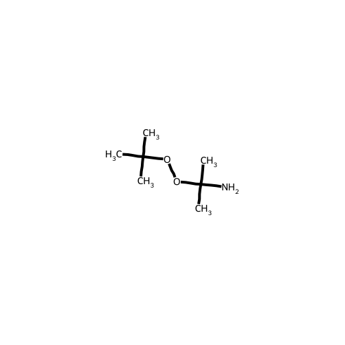 CC(C)(C)OOC(C)(C)N